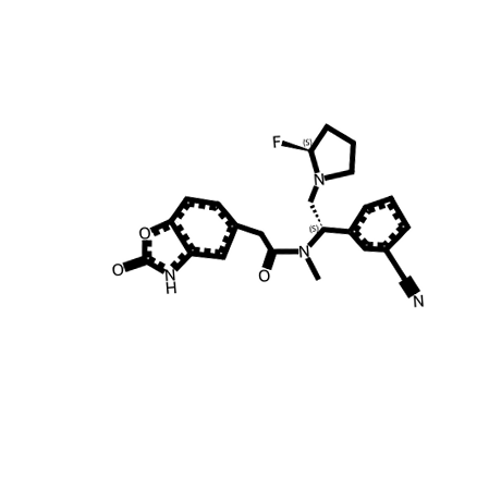 CN(C(=O)Cc1ccc2oc(=O)[nH]c2c1)[C@H](CN1CCC[C@@H]1F)c1cccc(C#N)c1